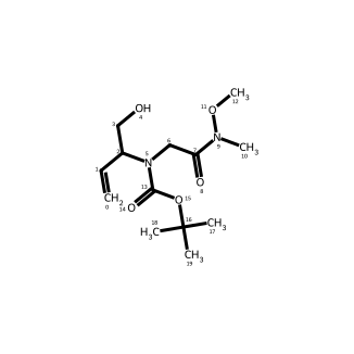 C=CC(CO)N(CC(=O)N(C)OC)C(=O)OC(C)(C)C